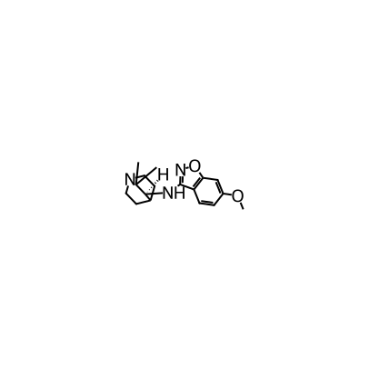 COc1ccc2c(N[C@H]3C4CCN(CC4)C3(C)C)noc2c1